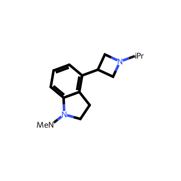 CNN1CCc2c(C3CN(C(C)C)C3)cccc21